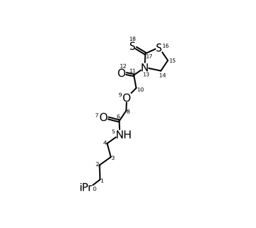 CC(C)CCCCNC(=O)COCC(=O)N1CCSC1=S